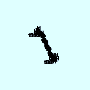 CC(C)(C)OC(=O)N1[C@@H]2C[C@@H]2C[C@H]1c1nc2ccc(-c3ccc4cc(-c5ccc6cc(-c7ccc8nc([C@@H]9C[C@H]%10C[C@H]%10N9C(=O)OC(C)(C)C)[nH]c8c7)ccc6c5)ccc4c3)cc2[nH]1